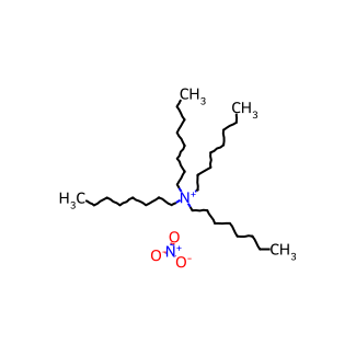 CCCCCCCC[N+](CCCCCCCC)(CCCCCCCC)CCCCCCCC.O=[N+]([O-])[O-]